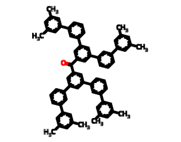 Cc1cc(C)cc(-c2cccc(-c3cc(C(=O)c4cc(-c5cccc(-c6cc(C)cc(C)c6)c5)cc(-c5cccc(-c6cc(C)cc(C)c6)c5)c4)cc(-c4cccc(-c5cc(C)cc(C)c5)c4)c3)c2)c1